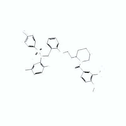 COc1ccc(C(=O)N2CCCCC2CCOc2ccccc2CN(c2cc(F)ccc2F)S(=O)(=O)c2ccc(Cl)cc2)cc1OC